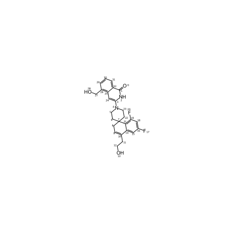 O=c1[nH]c(N2CCC3(CC=C(CCO)c4cc(F)cc(F)c43)CC2)cc2c(CO)cccc12